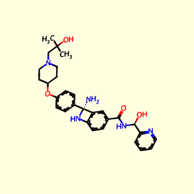 CC(C)(O)CN1CCC(Oc2ccc([C@]3(N)Nc4ccc(C(=O)N[C@@H](O)c5ccccn5)cc43)cc2)CC1